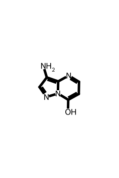 Nc1cnn2c(O)ccnc12